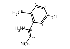 Cc1ccc(Cl)cc1C(N)=CC#N